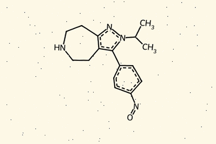 CC(C)n1nc2c(c1-c1ccc(N=O)cc1)CCNCC2